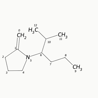 C=C1CCCN1C(CCC)C(C)C